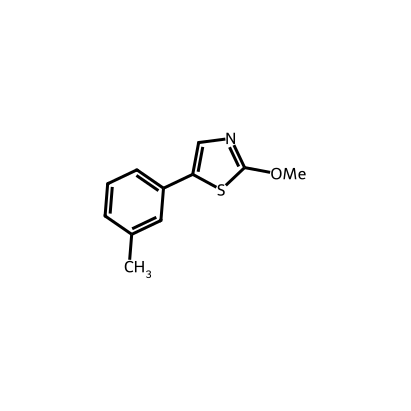 COc1ncc(-c2cccc(C)c2)s1